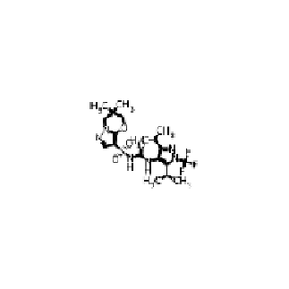 CC(C)c1nn(C(F)(F)F)c(C(C)C)c1NC(=O)NS(=O)(=O)c1cnn2c1OCC(C)(C)C2